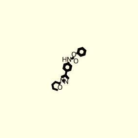 O=C(Nc1ccc(-c2cnn(C3CCCCO3)c2)cc1)Oc1ccccc1